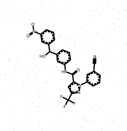 N#Cc1cccc(-n2nc(C(F)(F)F)cc2C(=O)Nc2cccc(C(O)c3cccc([N+](=O)[O-])c3)c2)c1